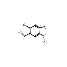 CSc1cc(SC)c(Br)cc1Br